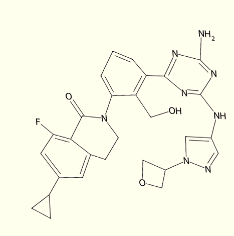 Nc1nc(Nc2cnn(C3COC3)c2)nc(-c2cccc(N3CCc4cc(C5CC5)cc(F)c4C3=O)c2CO)n1